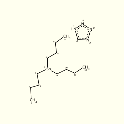 CCC[CH2][Sn]([CH2]CCC)[CH2]CCC.c1nnn[nH]1